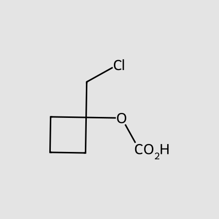 O=C(O)OC1(CCl)CCC1